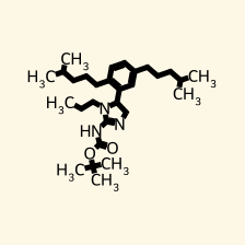 CCCN1C(NC(=O)OC(C)(C)C)=NCC1c1cc(CCCC(C)C)ccc1CCCC(C)C